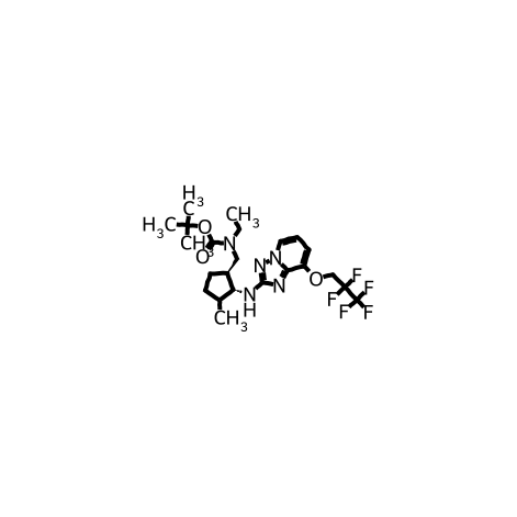 CCN(C[C@@H]1CCC(C)[C@H]1Nc1nc2c(OCC(F)(F)C(F)(F)F)cccn2n1)C(=O)OC(C)(C)C